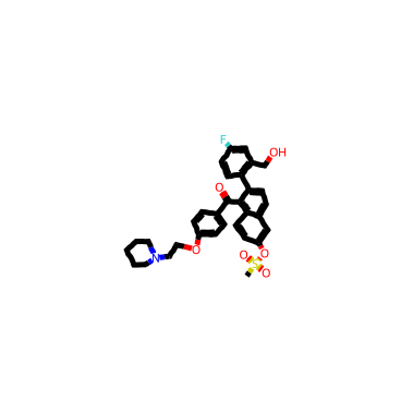 CS(=O)(=O)Oc1ccc2c(C(=O)c3ccc(OCCN4CCCCC4)cc3)c(-c3ccc(F)cc3CO)ccc2c1